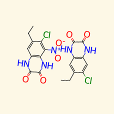 CCc1cc2[nH]c(=O)c(=O)[nH]c2c([N+](=O)[O-])c1Cl.CCc1cc2[nH]c(=O)c(=O)[nH]c2cc1Cl